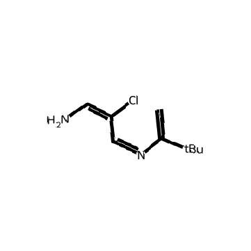 C=C(/N=C\C(Cl)=C/N)C(C)(C)C